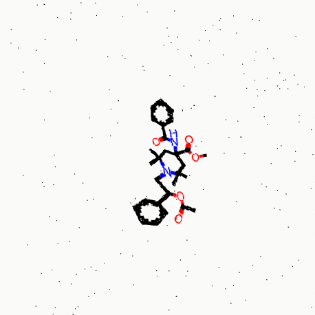 COC(=O)C1(NC(=O)c2ccccc2)CC(C)(C)N(CC(OC(C)=O)c2ccccc2)C(C)(C)C1